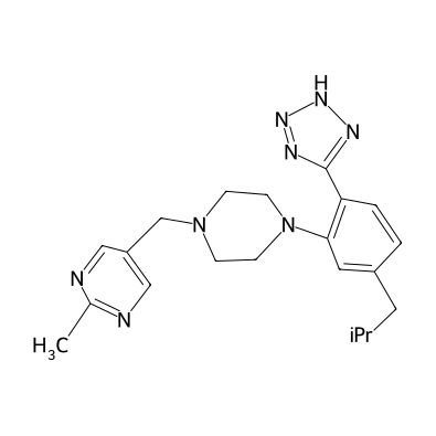 Cc1ncc(CN2CCN(c3cc(CC(C)C)ccc3-c3nn[nH]n3)CC2)cn1